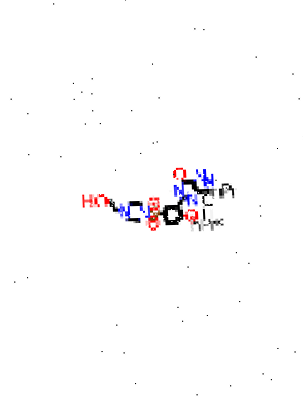 CCCOc1ccc(S(=O)(=O)N2CCN(CCO)CC2)cc1C1=NC2=C(N=NC2(C)CCC)C(=O)[N]1